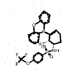 N=S(=O)(N[C@H]1CCC=C(N2c3ccccc3Oc3ccccc32)[C@H]1O)c1ccc(OC(F)(F)F)cc1